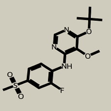 COc1c(Nc2ccc(S(C)(=O)=O)cc2F)ncnc1OC(C)(C)C